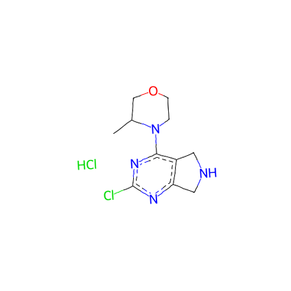 CC1COCCN1c1nc(Cl)nc2c1CNC2.Cl